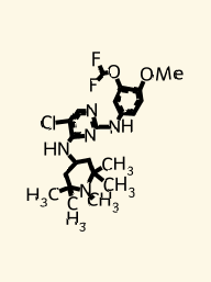 COc1ccc(Nc2ncc(Cl)c(NC3CC(C)(C)N(C)C(C)(C)C3)n2)cc1OC(F)F